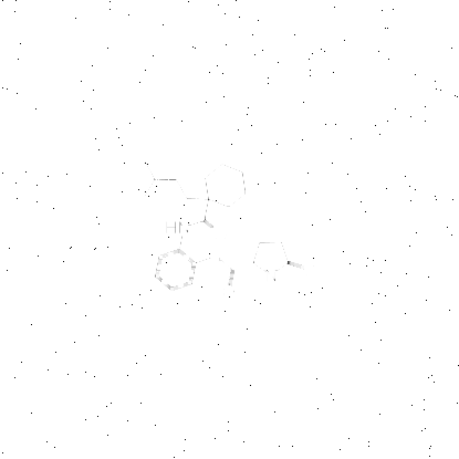 CC(C)CCC1(C(=O)Nc2ccccc2SC(=O)[C@@H]2CCC(=O)N2)CCCCC1